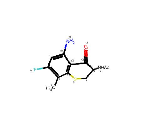 CC(=O)NC1CSc2c(C)c(F)cc(N)c2C1=O